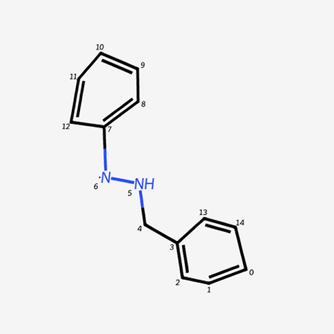 c1ccc(CN[N]c2ccccc2)cc1